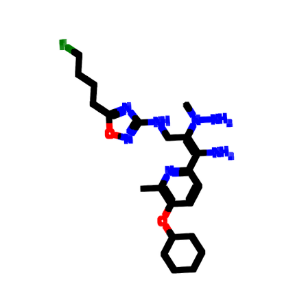 Cc1nc(/C(N)=C(\CNc2noc(CCCCF)n2)N(C)N)ccc1OC1CCCCC1